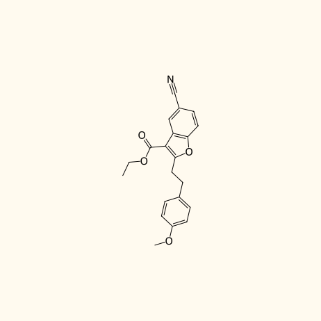 CCOC(=O)c1c(CCc2ccc(OC)cc2)oc2ccc(C#N)cc12